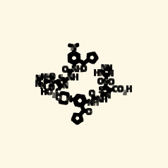 CN(C)c1ccc(NC(=O)Nc2nc(C(=O)O)c(S(=O)(=O)c3nnn[nH]3)s2)c(C(=O)C2CCCC2)c1.O=C(Nc1nc(C(=O)O)c(S(=O)(=O)c2nnn[nH]2)s1)Nc1ccc(N2CCOCC2)cc1C(=O)C1CCCC1